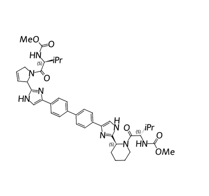 COC(=O)N[C@H](C(=O)N1CC=CC1c1nc(-c2ccc(-c3ccc(-c4c[nH]c([C@@H]5CCCCN5C(=O)[C@@H](NC(=O)OC)C(C)C)n4)cc3)cc2)c[nH]1)C(C)C